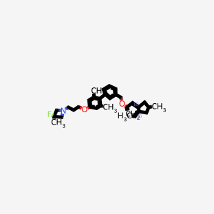 C=C(/C=C1/CC(C)C/C1=C/C)OCc1cccc(-c2c(C)cc(OCCCN3CC(C)(F)C3)cc2C)c1